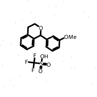 COc1cccc(C2OCCc3ccccc32)c1.O=S(=O)(O)C(F)(F)F